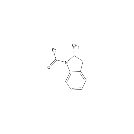 CCC(=O)N1c2ccccc2C[C@H]1C